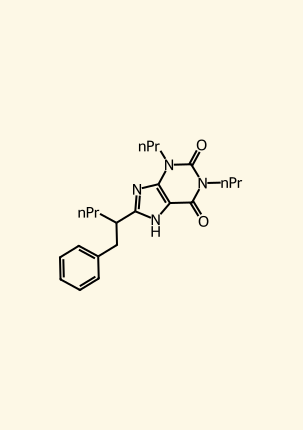 CCCC(Cc1ccccc1)c1nc2c([nH]1)c(=O)n(CCC)c(=O)n2CCC